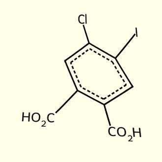 O=C(O)c1cc(Cl)c(I)cc1C(=O)O